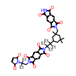 CCC(CC)(Cn1c(=O)c2cc3c(=O)n(C(CC)(CC)C(CC)(CC)C4CC(C)(C)CC(C)(Cn5c(=O)c6cc7c(=O)[nH]c(=O)c7cc6c5=O)C4)c(=O)c3cc2c1=O)N1C(=O)C=CC1=O